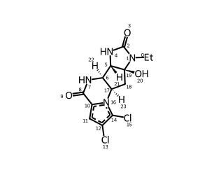 CCN1C(=O)N[C@H]2[C@@H]3NC(=O)c4cc(Cl)c(Cl)n4[C@@H]3C[C@]21O